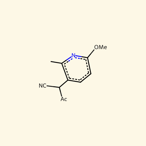 COc1ccc(C(C#N)C(C)=O)c(C)n1